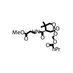 CCCC(=O)OCOP1(=O)C[C@@H](C(=O)NCCC(=O)OC)C(C)(C)CO1